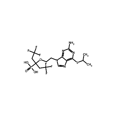 CC(C)Sc1nc(N)nc2c1ncn2CCOC(CC(F)(F)F)(CC(F)(F)F)P(=O)(O)O